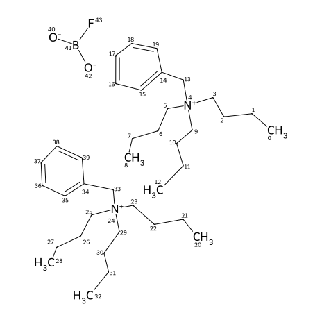 CCCC[N+](CCCC)(CCCC)Cc1ccccc1.CCCC[N+](CCCC)(CCCC)Cc1ccccc1.[O-]B([O-])F